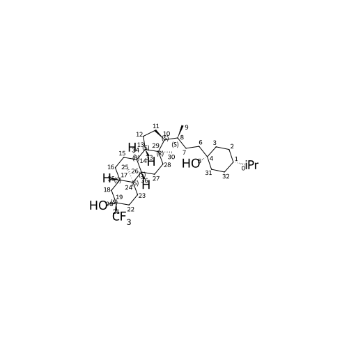 CC(C)[C@H]1CC[C@](O)(CC[C@H](C)[C@@H]2CC[C@H]3[C@@H]4CC[C@H]5C[C@](O)(C(F)(F)F)CC[C@]5(C)[C@H]4CC[C@@]32C)CC1